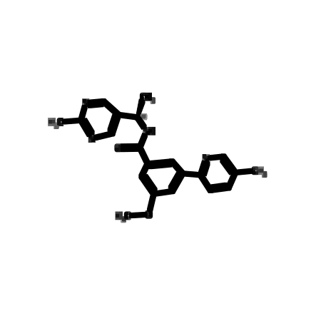 COc1cc(C(=O)N[C@H](C)c2cnc(C)nc2)cc(-c2ccc(C)cn2)c1